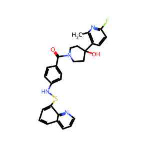 Cc1nc(F)ccc1C1(O)CCN(C(=O)c2ccc(NSc3cccc4cccnc34)cc2)CC1